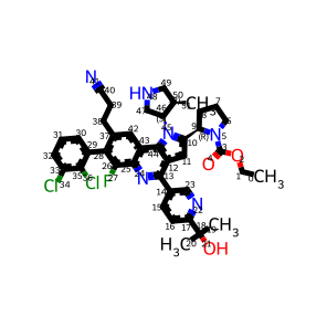 CCOC(=O)N1CCC[C@@H]1c1cc2c(-c3ccc(C(C)(C)O)nc3)nc3c(F)c(-c4cccc(Cl)c4Cl)c(CCC#N)cc3c2n1[C@@H]1CNC[C@H]1C